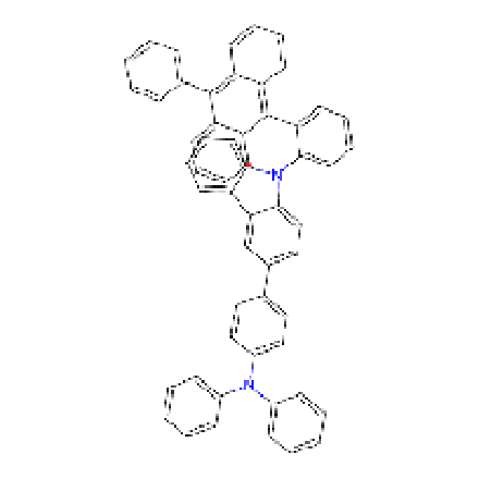 c1ccc(-c2c3ccccc3c(-c3ccccc3-n3c4ccccc4c4cc(-c5ccc(N(c6ccccc6)c6ccccc6)cc5)ccc43)c3ccccc23)cc1